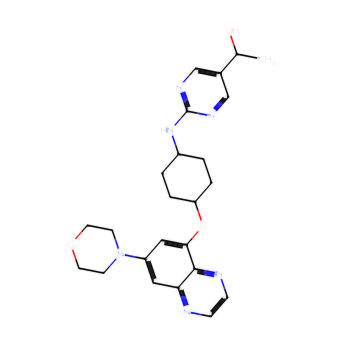 CC(O)c1cnc(NC2CCC(Oc3cc(N4CCOCC4)cc4nccnc34)CC2)nc1